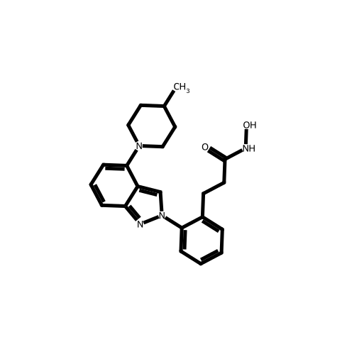 CC1CCN(c2cccc3nn(-c4ccccc4CCC(=O)NO)cc23)CC1